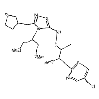 COCC(COC)n1c(NSC(C)C(OC)c2ncc(Cl)cn2)nnc1C1CCOC1